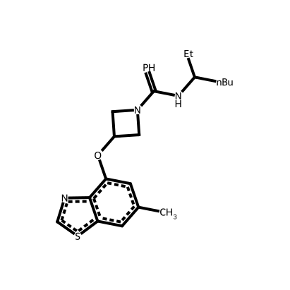 CCCCC(CC)NC(=P)N1CC(Oc2cc(C)cc3scnc23)C1